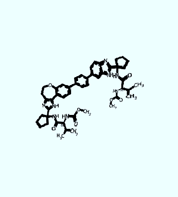 COC(=O)N[C@H](C(=O)NC1(c2nc3c([nH]2)-c2ccc(-c4ccc(-c5ccc6nc(C7(NC(=O)[C@@H](NC(=O)OC)C(C)C)CCCC7)[nH]c6c5)cc4)cc2OCC3)CCCC1)C(C)C